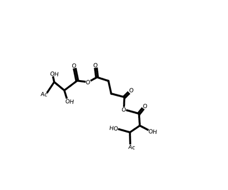 CC(=O)C(O)C(O)C(=O)OC(=O)CCC(=O)OC(=O)C(O)C(O)C(C)=O